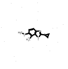 COc1ccc2nc(C3CC3)sc2c1C